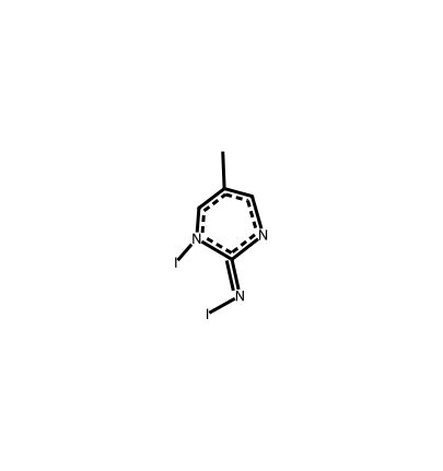 Cc1cn/c(=N/I)n(I)c1